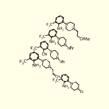 C=CCN1CCN(c2cccc(C(F)(F)F)c2N)CC1.CCCN1CCN(c2cccc(C(F)(F)F)c2C#N)CC1.CCCN1CCN(c2cccc(C(F)(F)F)c2N)CC1.CCN1CCN(c2cccc(C(F)(F)F)c2N)CC1.COCCN1CCN(c2cccc(C(F)(F)F)c2N)CC1